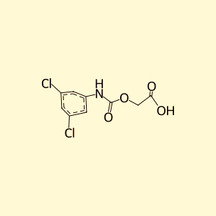 O=C(O)COC(=O)Nc1cc(Cl)cc(Cl)c1